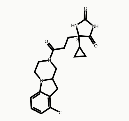 O=C1NC(=O)[C@](CCC(=O)N2CCN3c4cccc(Cl)c4CC3C2)(C2CC2)N1